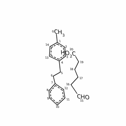 Cc1ccc(CCc2ccccc2)cc1.O=CCCCCC(=O)O